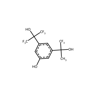 CC(O)(c1cc(O)cc(C(O)(C(F)(F)F)C(F)(F)F)c1)C(F)(F)F